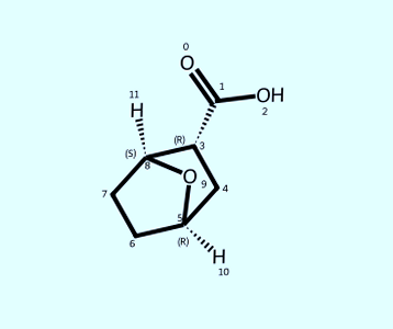 O=C(O)[C@@H]1C[C@H]2CC[C@@H]1O2